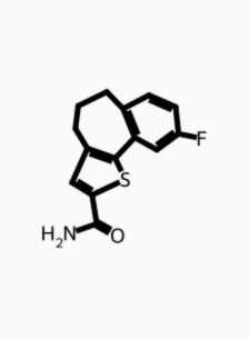 NC(=O)c1cc2c(s1)-c1cc(F)ccc1CCC2